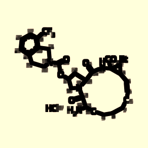 CCOC(=O)C12CC1C=CCCCCCC(N)C(=O)N1CC(OC(=O)N3CCc4cccc(C(F)(F)F)c4C3)CC1C(=O)N2.Cl